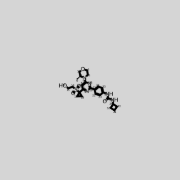 C[C@H]1COCCN1c1cc(C2(S(=O)(=O)CCO)CC2)nc(-c2ccc(NC(=O)NC3CCC3)cc2)n1